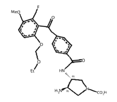 CCOCOc1ccc(OC)c(F)c1C(=O)c1ccc(C(=O)N[C@@H]2CN(C(=O)O)C[C@H]2N)cc1